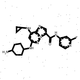 NC1CCC(Nc2cc(NC3CC3)c3ncc(C(=O)Nc4ccnc(F)c4)n3n2)CC1